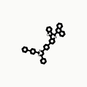 c1ccc(-c2ccc(-c3nc(-c4ccccc4)cc(-c4ccc(-c5ccc6nc(-c7cc8ccccc8c8ccccc78)c7c8ccccc8oc7c6c5)cc4)n3)cc2)cc1